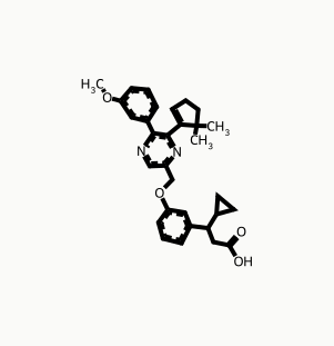 COc1cccc(-c2ncc(COc3cccc(C(CC(=O)O)C4CC4)c3)nc2C2=CCCC2(C)C)c1